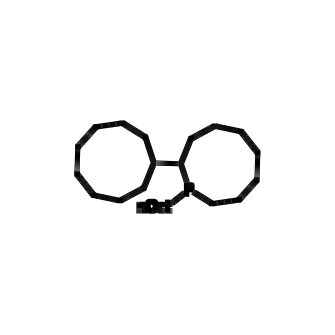 CCCCCCCCP1CCCCCCCC1C1CCCCCCCC1